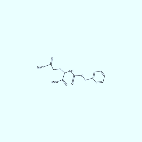 COC(=O)CCC(NC(=O)OCc1ccccc1)C(=O)OC